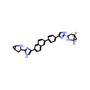 c1cc(-c2c[nH]c([C@@H]3C[C@@H]4C[C@@H]4N3)n2)ccc1-c1ccc2cc(-c3c[nH]c(C4CC5CC5N4)n3)ccc2c1